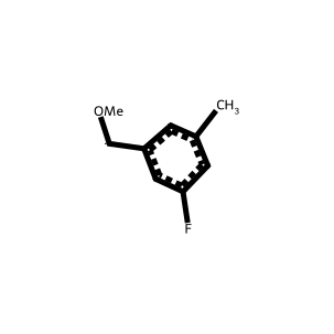 CO[CH]c1cc(C)cc(F)c1